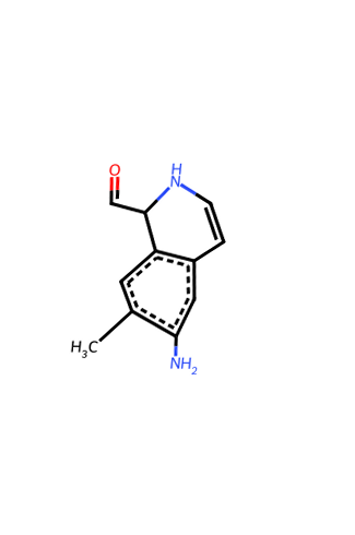 Cc1cc2c(cc1N)C=CNC2C=O